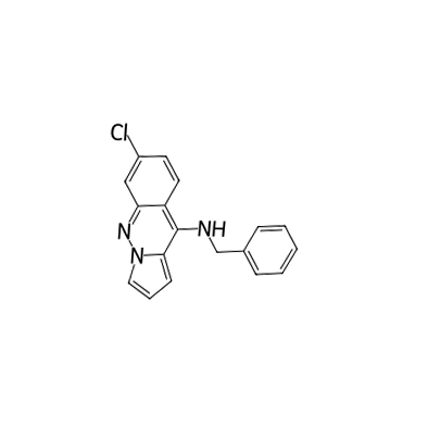 Clc1ccc2c(NCc3ccccc3)c3cccn3nc2c1